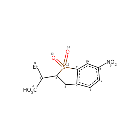 CCC(C(=O)O)C1Cc2ccc([N+](=O)[O-])cc2S1(=O)=O